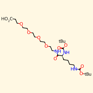 CC(C)(C)OC(=O)NCCCC[C@H](NC(=O)OC(C)(C)C)C(=O)NCCOCCOCCOCCOCCC(=O)O